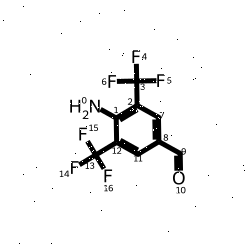 Nc1c(C(F)(F)F)cc(C=O)cc1C(F)(F)F